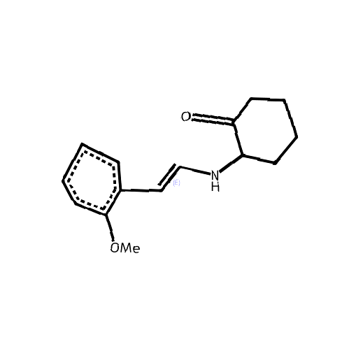 COc1ccccc1/C=C/NC1CCCCC1=O